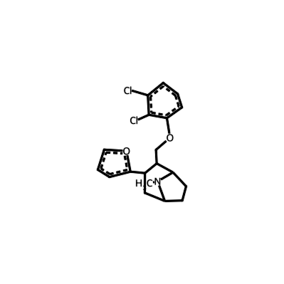 CN1C2CCC1C(COc1cccc(Cl)c1Cl)C(c1ccco1)C2